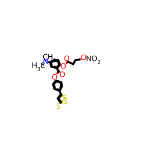 CN(C)c1ccc(OC(=O)CCCO[N+](=O)[O-])c(C(=O)Oc2ccc(-c3cc(=S)ss3)cc2)c1